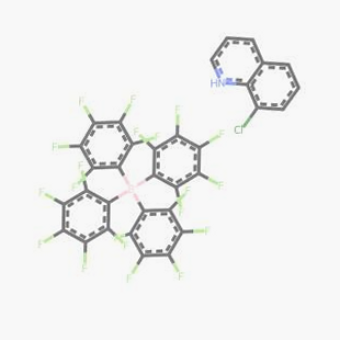 Clc1cccc2ccc[nH+]c12.Fc1c(F)c(F)c([B-](c2c(F)c(F)c(F)c(F)c2F)(c2c(F)c(F)c(F)c(F)c2F)c2c(F)c(F)c(F)c(F)c2F)c(F)c1F